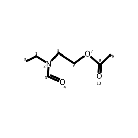 CCN(C=O)CCOC(C)=O